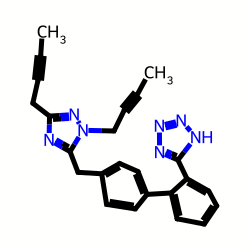 CC#CCc1nc(Cc2ccc(-c3ccccc3-c3nnn[nH]3)cc2)n(CC#CC)n1